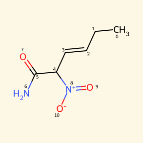 CC/C=C/C(C(N)=O)[N+](=O)[O-]